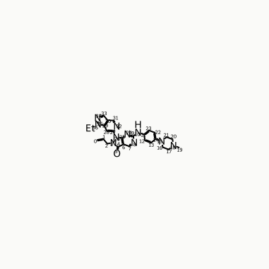 C=CCn1c(=O)c2cnc(Nc3ccc(N4CCN(C)CC4)cc3)nc2n1-c1cc2c(cn1)cnn2CC